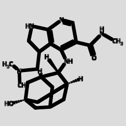 CNC(=O)c1cnc2c(c1N[C@H]1[C@@H]3CC4C[C@H]1C[C@@](O)(C4)C3)C(CN(C)C)CN2